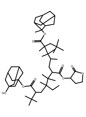 CCC(C)(CC(C(=O)OC12CC3CC(CC(O)(C3)C1)C2)C(C)(C)C)C(C)(C)C(CC(C)C(C)(C)C(C)(CC(C)(C)C)C(=O)OC1(C)C2CC3CC(C2)CC1C3)C(=O)OC1CCOC1=O